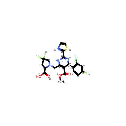 COC(=O)C1=C(CN2CC(F)(F)CC2C(=O)O)NC(c2nccs2)=N[C@H]1c1ccc(F)cc1Cl